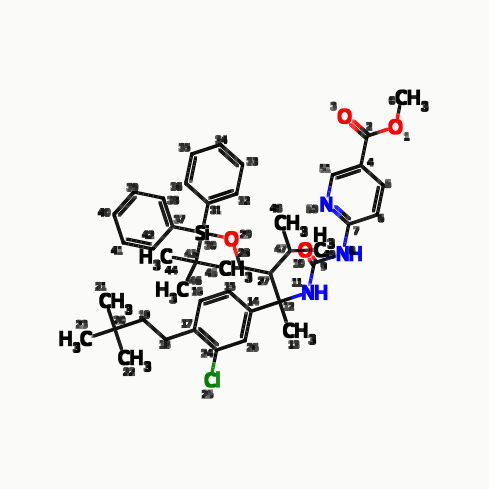 COC(=O)c1ccc(NC(=O)NC(C)(c2ccc(CCC(C)(C)C)c(Cl)c2)C(CO[Si](c2ccccc2)(c2ccccc2)C(C)(C)C)C(C)C)nc1